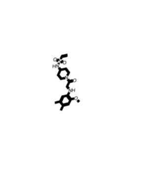 C=CS(=O)(=O)NC1CCN(C(=O)CNc2cc(C)c(C)cc2OC)CC1